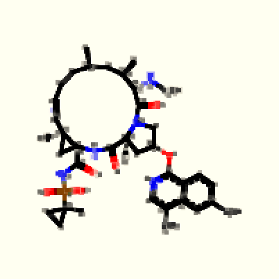 COc1ccc2c(O[C@@H]3C[C@H]4C(=O)N[C@]5(C(=O)NS(=O)(=O)C6(C)CC6)C[C@H]5/C=C\CC[C@@H](C)C[C@@H](C)[C@H](NC(=O)O)C(=O)N4C3)ncc(OC)c2c1